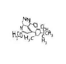 COc1cc(-c2cc(Cl)c(C(C)(C)C)cc2C)c2c(Cl)nncc2n1